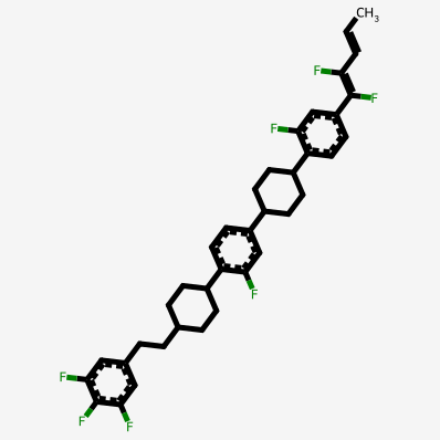 C/C=C/C(F)=C(\F)c1ccc(C2CCC(c3ccc(C4CCC(CCc5cc(F)c(F)c(F)c5)CC4)c(F)c3)CC2)c(F)c1